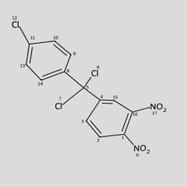 O=[N+]([O-])c1ccc(C(Cl)(Cl)c2ccc(Cl)cc2)cc1[N+](=O)[O-]